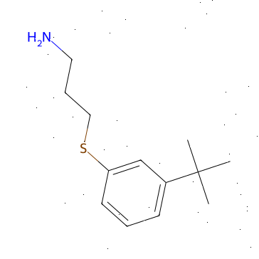 CC(C)(C)c1cccc(SCCCN)c1